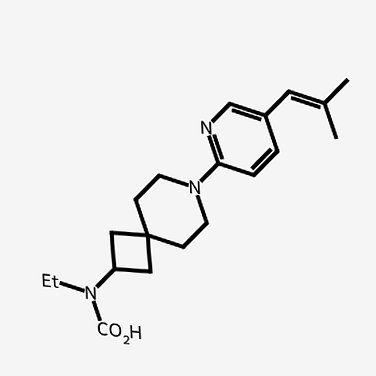 CCN(C(=O)O)C1CC2(CCN(c3ccc(C=C(C)C)cn3)CC2)C1